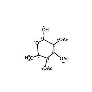 CC(=O)OC1C(C)OC(O)C(OC(C)=O)C1OC(C)=O